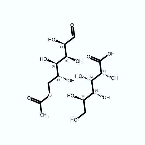 CC(=O)OC[C@@H](O)[C@@H](O)[C@H](O)[C@@H](O)C=O.O=C(O)[C@H](O)[C@@H](O)[C@H](O)[C@H](O)CO